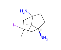 CC1(I)CC2(N)CC[C@](N)(C1)C2(C)C